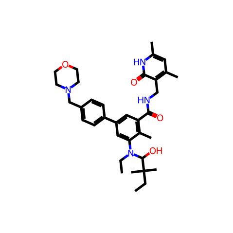 CCN(c1cc(-c2ccc(CN3CCOCC3)cc2)cc(C(=O)NCc2c(C)cc(C)[nH]c2=O)c1C)C(O)C(C)(C)CC